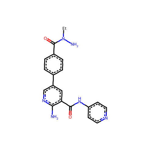 CCN(N)C(=O)c1ccc(-c2cnc(N)c(C(=O)Nc3ccncc3)c2)cc1